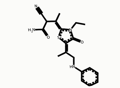 CCn1c(=O)/c(=C(/C)CNc2ccccc2)s/c1=C(/C)C(C#N)C(N)=O